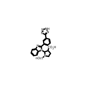 CCCCCCCCN1CCC(C(=O)O)C1n1c(-c2cccc(-c3nn[nH]n3)c2)nc2ccccc21